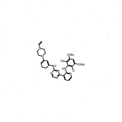 C=CN1CCN(C2=CCCC(Nc3ncnc(-c4cccnc4Nc4c(Cl)c(OC)cc(OC)c4Cl)n3)=C2)CC1